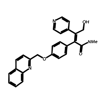 CNC(=O)C(=C(CO)c1ccncc1)c1ccc(OCc2ccc3ccccc3n2)cc1